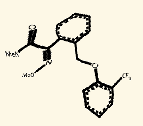 CNC(=O)C(=NOC)c1ccccc1COc1ccccc1C(F)(F)F